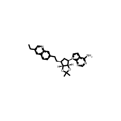 CCc1cnc2cc(CC[C@H]3C[C@@H](n4ccc5c(N)ncnc54)[C@@H]4OC(C)(C)O[C@H]34)ccc2c1